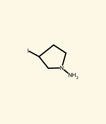 NN1CCC(I)C1